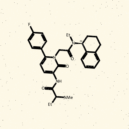 CCC(NC)C(=O)Nc1ccc(-c2ccc(F)cc2)n(CC(=O)N(CC)[C@H]2CCCc3ccccc32)c1=O